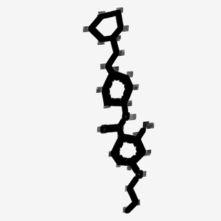 CCCOc1ccc(C(=O)Oc2ccc(CCC3CC[CH]CC3)cc2)c(F)c1